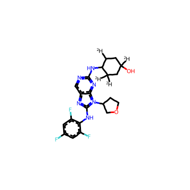 [2H]C1CC([2H])(O)CC([2H])([2H])C1Nc1ncc2nc(Nc3c(F)cc(F)cc3F)n(C3CCOC3)c2n1